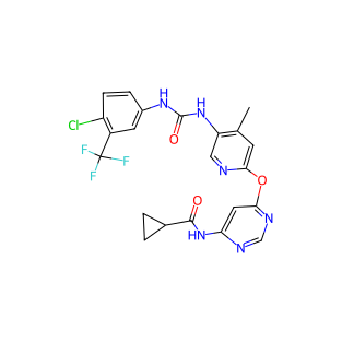 Cc1cc(Oc2cc(NC(=O)C3CC3)ncn2)ncc1NC(=O)Nc1ccc(Cl)c(C(F)(F)F)c1